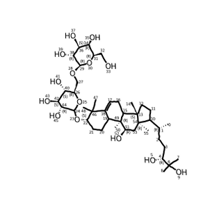 C[C@H](CC[C@@H](O)C(C)(C)O)C1CC[C@@]2(C)C3CC=C4C(CC[C@H](OC5O[C@H](CO[C@@H]6O[C@H](CO)[C@H](O)[C@H](O)[C@H]6O)[C@@H](O)[C@H](O)[C@H]5O)C4(C)C)[C@]3(C)[C@H](O)C[C@]12C